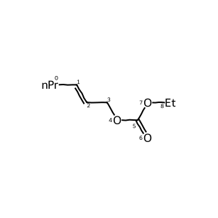 CCCC=CCOC(=O)OCC